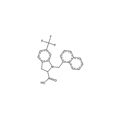 O=C(O)C1Cc2ccc(C(F)(F)F)cc2N1Cc1cccc2ccccc12